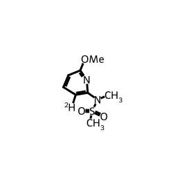 [2H]c1ccc(OC)nc1N(C)S(C)(=O)=O